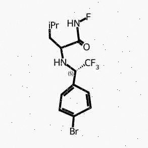 CC(C)CC(N[C@@H](c1ccc(Br)cc1)C(F)(F)F)C(=O)NF